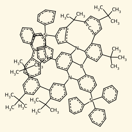 CC(C)(C)c1cc(-c2cc(N3c4cc([Si](c5ccccc5)(c5ccccc5)c5ccccc5)ccc4B4c5cc(C(C)(C)C)cc6c5N(c5cc(cc([Si](c7ccccc7)(c7ccccc7)c7ccccc7)c5)C(C)(C)c5cc-6cc(C(C)(C)C)c5)c5cc(-n6c7ccccc7c7ccccc76)cc3c54)ccc2C(C)(C)C)cc(C(C)(C)C)c1